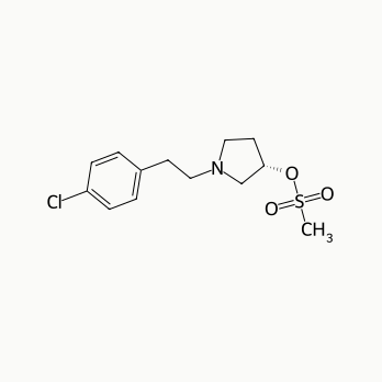 CS(=O)(=O)O[C@H]1CCN(CCc2ccc(Cl)cc2)C1